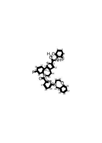 Cc1cccc(F)c1NC(=O)c1cc2c(s1)-c1ccc(F)cc1N(C(=O)c1cccc(N3CCOc4ccccc4C3)n1)CC2